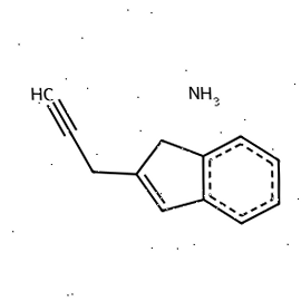 C#CCC1=Cc2ccccc2C1.N